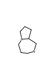 C1C[N]CC2CCCN2C1